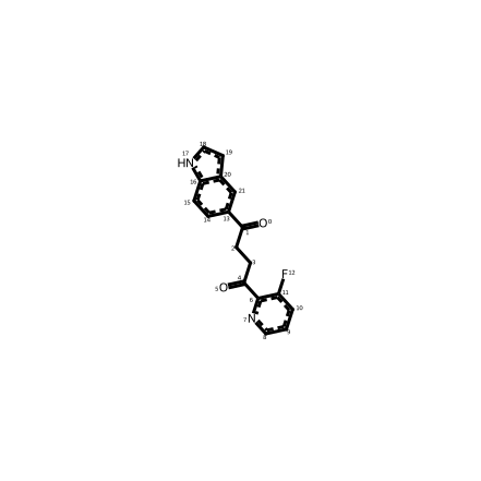 O=C(CCC(=O)c1ncccc1F)c1ccc2[nH]ccc2c1